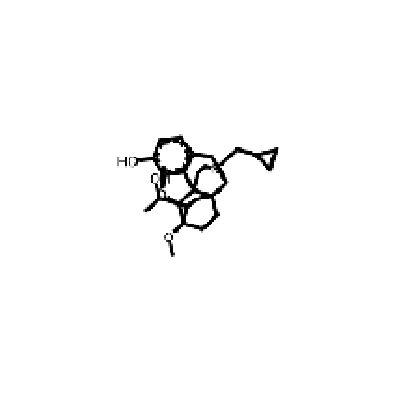 COC12CCC3(CC1C(C)O)C1Cc4ccc(O)c5c4C3(CCN1CC1CC1)C2O5